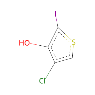 Oc1c(Cl)csc1I